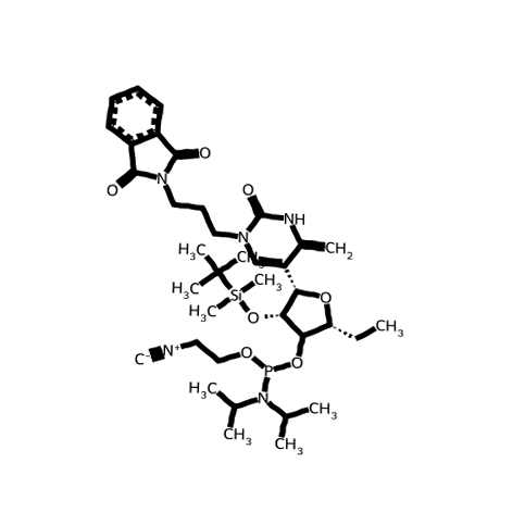 [C-]#[N+]CCOP(OC1[C@@H](CC)O[C@@H](C2=CN(CCCN3C(=O)c4ccccc4C3=O)C(=O)NC2=C)[C@H]1O[Si](C)(C)C(C)(C)C)N(C(C)C)C(C)C